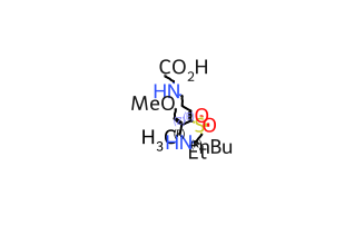 CCCC[C@]1(CC)CS(=O)(=O)C(=C/CCNCCC(=O)O)/C(=C\COC)[C@@H](C)N1